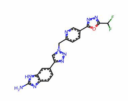 Nc1nc2ccc(-c3cn(Cc4ccc(-c5nnc(C(F)F)o5)cn4)nn3)cc2[nH]1